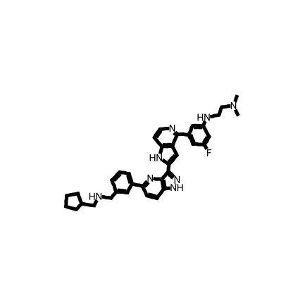 CN(C)CCNc1cc(F)cc(-c2nccc3[nH]c(-c4n[nH]c5ccc(-c6cccc(CNCC7CCCC7)c6)nc45)cc23)c1